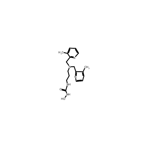 Cc1cccnc1CN(CCCNC(=O)NO)Cc1ncccc1C